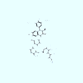 COc1cc(C2c3cc4c(cc3C(OC3OC(CO)C(OC5OC(COC6(C(=O)O)CC(O)C(NC(C)=O)C(C(O)C(O)CN)O6)C(O)C(O)C5O)C(O)C3O)C3COC(=O)C23)OCO4)cc(OC)c1O